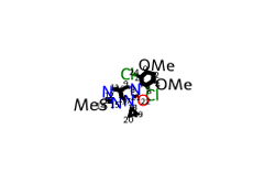 COc1cc(OC)c(Cl)c(N2Cc3cnc(SC)nc3N(C3CC3)C2=O)c1Cl